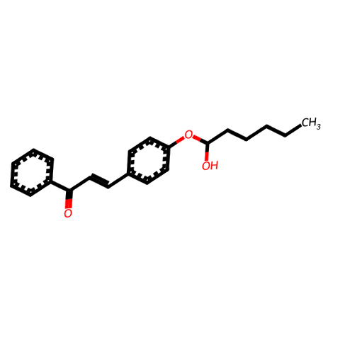 CCCCCC(O)Oc1ccc(C=CC(=O)c2ccccc2)cc1